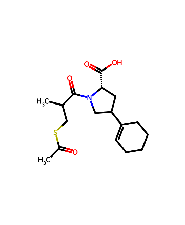 CC(=O)SCC(C)C(=O)N1CC(C2=CCCCC2)C[C@H]1C(=O)O